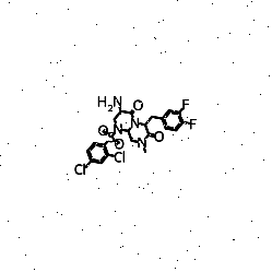 CN1CC2N(C(=O)C(N)CN2S(=O)(=O)c2ccc(Cl)cc2Cl)C(Cc2ccc(F)c(F)c2)C1=O